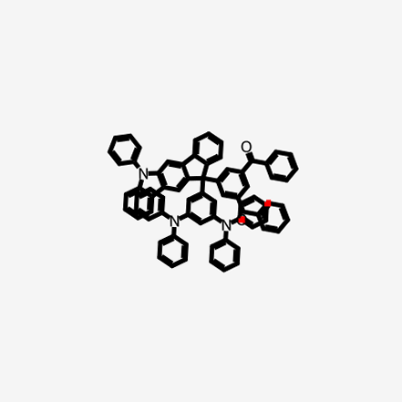 O=C(c1ccccc1)c1cc(C(=O)c2ccccc2)cc(C2(c3cc(N(c4ccccc4)c4ccccc4)cc(N(c4ccccc4)c4ccccc4)c3)c3ccccc3-c3cc4c(cc32)c2ccccc2n4-c2ccccc2)c1